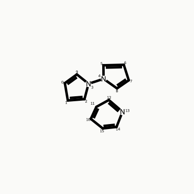 c1ccn(-n2cccc2)c1.c1ccncc1